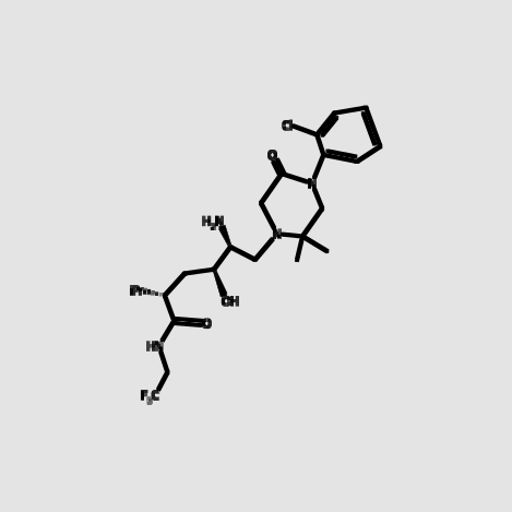 CC(C)[C@H](C[C@H](O)[C@@H](N)CN1CC(=O)N(c2ccccc2Cl)CC1(C)C)C(=O)NCC(F)(F)F